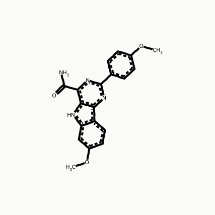 COc1ccc(-c2nc(C(N)=O)c3[nH]c4cc(OC)ccc4c3n2)cc1